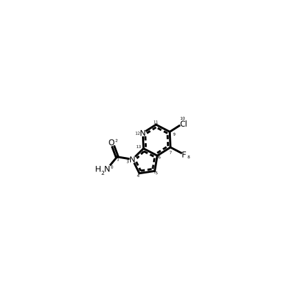 NC(=O)n1c[c]c2c(F)c(Cl)cnc21